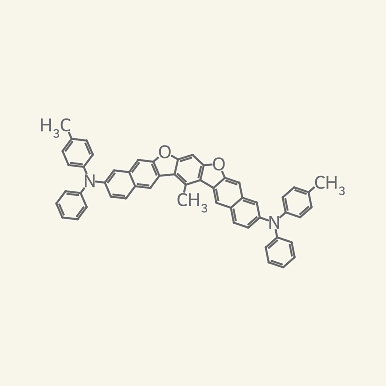 Cc1ccc(N(c2ccccc2)c2ccc3cc4c(cc3c2)oc2cc3oc5cc6cc(N(c7ccccc7)c7ccc(C)cc7)ccc6cc5c3c(C)c24)cc1